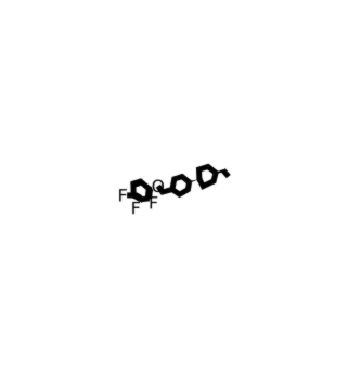 CC[C@H]1CC[C@H](C2CCC(COc3ccc(F)c(F)c3F)CC2)CC1